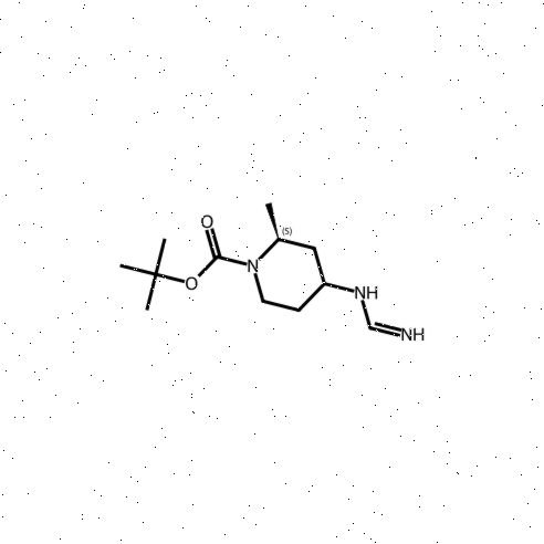 C[C@H]1CC(NC=N)CCN1C(=O)OC(C)(C)C